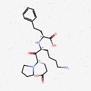 NCCCC[C@H](N[C@@H](CCc1ccccc1)C(=O)O)C(=O)[C@H](CCC(=O)O)N1CCCC1